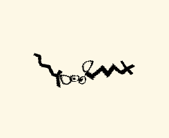 CCCCCC(C)(C)OOOC(=O)CCCCCC(C)(C)C